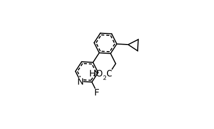 O=C(O)Cc1c(-c2ccnc(F)c2)cccc1C1CC1